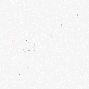 COc1cc(N2CCC(N3CCN(C)CC3)CC2)ccc1Nc1ncc(P)c(Nc2ccc3nccnc3c2N(C)SC2CC2)n1